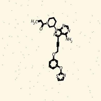 C=CC(=O)N1CCC[C@@H](n2nc(C#CCOc3cccc(Oc4nccs4)c3)c3c(N)ncnc32)C1